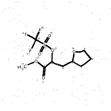 COC(=O)C(CC1CCCO1)OS(=O)(=O)C(F)(F)F